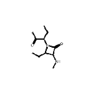 CCC(C(C)=O)N1C(=O)C(NC)C1CC